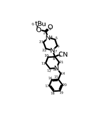 CC(C)(C)OC(=O)N1CCN(C2(C#N)CCCN(Cc3ccccc3)C2)CC1